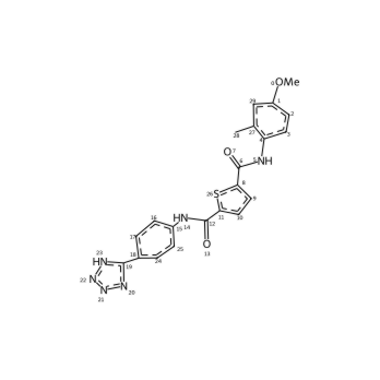 COc1ccc(NC(=O)c2ccc(C(=O)Nc3ccc(-c4nnn[nH]4)cc3)s2)c(C)c1